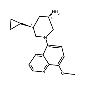 COc1ccc(N2C[C@H](N)C[C@H](C3CC3)C2)c2cccnc12